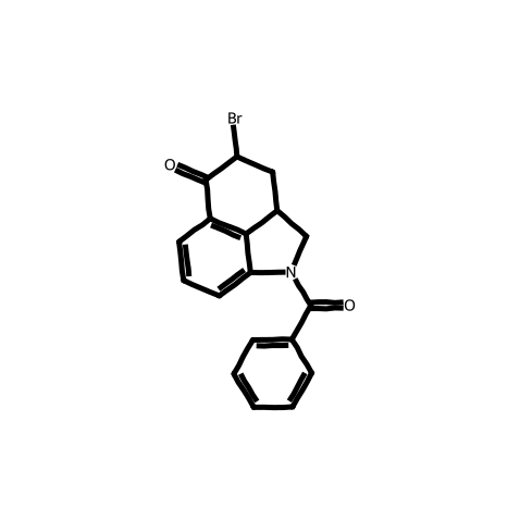 O=C1c2cccc3c2C(CC1Br)CN3C(=O)c1ccccc1